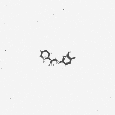 Cc1ccc(OCC(O)C2CCCCN2)cc1C